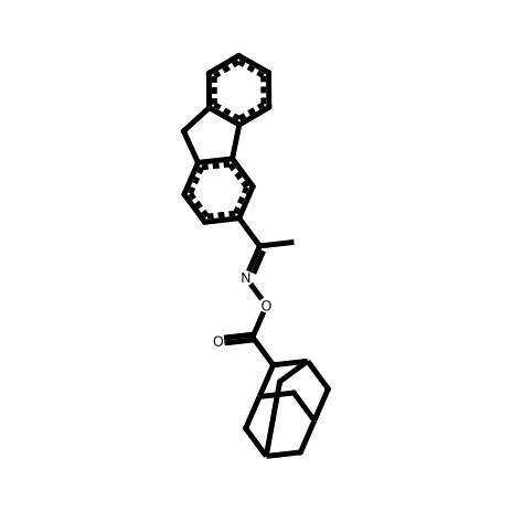 C/C(=N\OC(=O)C1C2CC3CC(C2)CC1C3)c1ccc2c(c1)-c1ccccc1C2